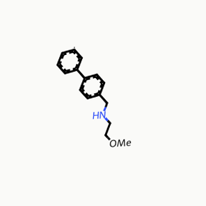 COCCNCc1ccc(-c2c[c]ccc2)cc1